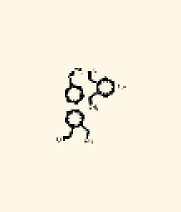 C=Cc1ccccc1.C=Cc1ccccc1C=C.C=Cc1ccccc1C[CH2-].[Na+]